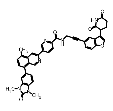 Cc1ccc(-c2ccc3c(c2)n(C)c(=O)n3C)c2cnc(-c3ccc(C(=O)NCC#Cc4ccc5occ(C6CCC(=O)NC6=O)c5c4)nc3)cc12